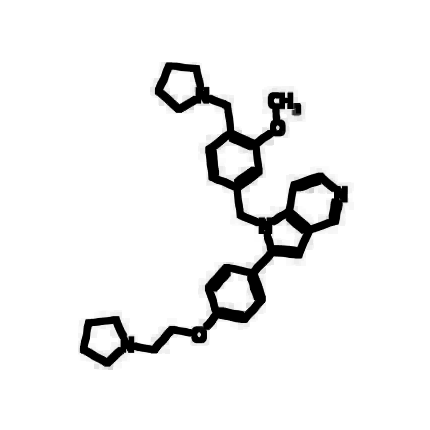 COc1cc(Cn2c(-c3ccc(OCCN4CCCC4)cc3)cc3cnccc32)ccc1CN1CCCC1